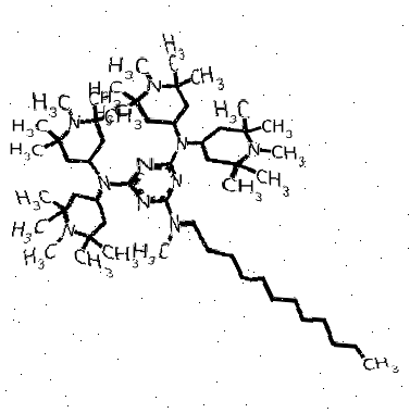 CCCCCCCCCCCCN(C)c1nc(N(C2CC(C)(C)N(C)C(C)(C)C2)C2CC(C)(C)N(C)C(C)(C)C2)nc(N(C2CC(C)(C)N(C)C(C)(C)C2)C2CC(C)(C)N(C)C(C)(C)C2)n1